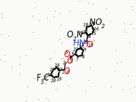 O=C(COC(=O)c1cccc(NC(=O)c2ccc([N+](=O)[O-])cc2[N+](=O)[O-])c1)c1ccc(C(F)(F)F)cc1